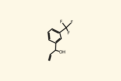 C=CC(O)c1cccc(C(F)(F)F)c1